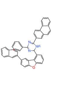 c1ccc(C2=NC(c3cccc4oc5ccc(-c6ccc7ccccc7c6)cc5c34)NC(c3ccc4c(ccc5ccccc54)c3)=N2)cc1